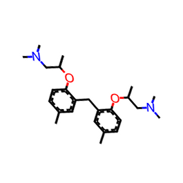 Cc1ccc(OC(C)CN(C)C)c(Cc2cc(C)ccc2OC(C)CN(C)C)c1